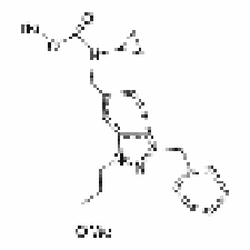 COCCCn1nc(Cc2ccccc2)c2ccc(CN(C(=O)OC(C)(C)C)C3CC3)cc21